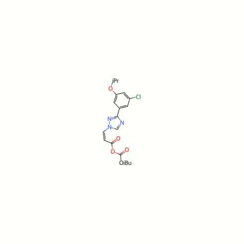 CC(C)COC(=O)OC(=O)/C=C\n1cnc(-c2cc(Cl)cc(OC(C)C)c2)n1